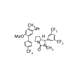 COc1cc(C)c(C(C)C)cc1-c1ccc(C(F)(F)F)cc1[C@@H]1CC[C@H]2[C@@H](c3cc(C(F)(F)F)cc(C(F)(F)F)c3)N(C)C(=O)N12